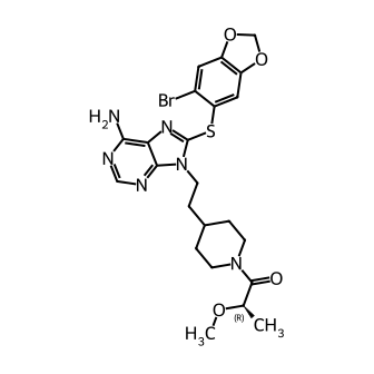 CO[C@H](C)C(=O)N1CCC(CCn2c(Sc3cc4c(cc3Br)OCO4)nc3c(N)ncnc32)CC1